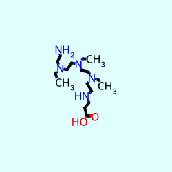 CCN(CCN)CCN(CC)CCN(CC)CCNCCC(=O)O